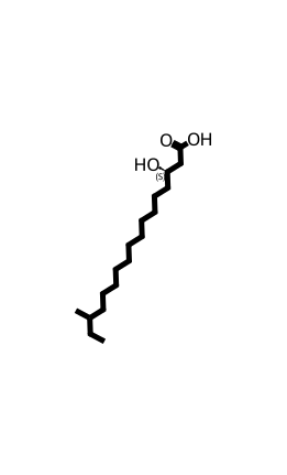 CCC(C)CCCCCCCCCCC[C@H](O)CC(=O)O